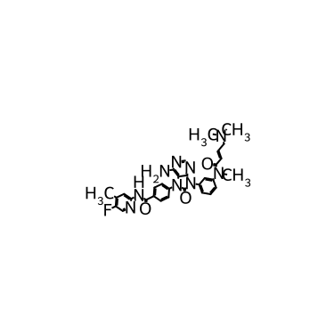 Cc1cc(NC(=O)c2ccc(-n3c(=O)n(-c4cccc(N(C)C(=O)C=CCN(C)C)c4)c4ncnc(N)c43)cc2)ncc1F